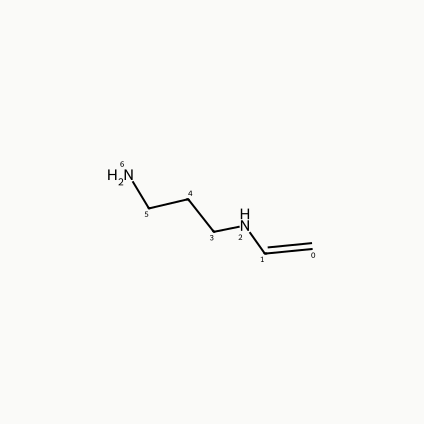 C=CNCCCN